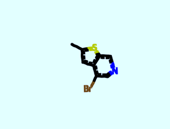 Cc1cc2c(Br)cncc2s1